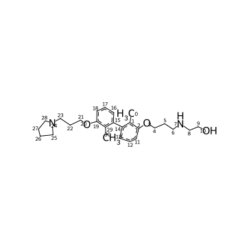 Cc1c(OCCCNCCO)cccc1-c1cccc(OCCCN2CCCC2)c1C